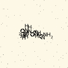 [2H]C([2H])([2H])Oc1ccccc1NC(=O)Nc1cccc2c1ccn2C([2H])([2H])c1ccnc(N)c1